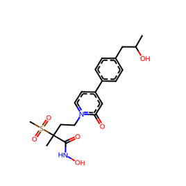 CC(O)Cc1ccc(-c2ccn(CCC(C)(C(=O)NO)S(C)(=O)=O)c(=O)c2)cc1